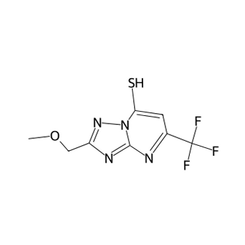 COCc1nc2nc(C(F)(F)F)cc(S)n2n1